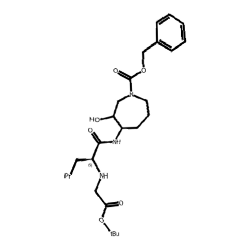 CC(C)C[C@H](NCC(=O)OC(C)(C)C)C(=O)NC1CCCN(C(=O)OCc2ccccc2)CC1O